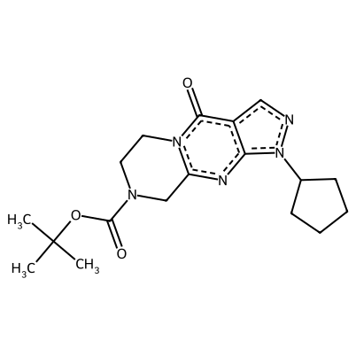 CC(C)(C)OC(=O)N1CCn2c(nc3c(cnn3C3CCCC3)c2=O)C1